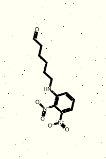 O=[C]CCCCCNc1cccc([N+](=O)[O-])c1[N+](=O)[O-]